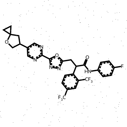 O=C(Nc1ccc(F)cc1)C(Cc1nnc(-c2ncc(C3COC4(CC4)C3)cn2)o1)c1ccc(C(F)(F)F)cc1C(F)(F)F